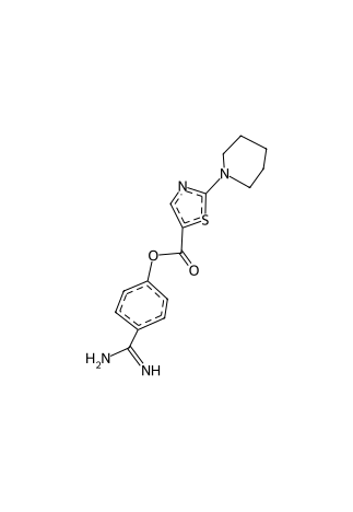 N=C(N)c1ccc(OC(=O)c2cnc(N3CCCCC3)s2)cc1